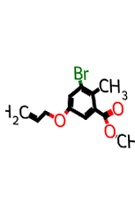 C=CCOc1cc(Br)c(C)c(C(=O)OC)c1